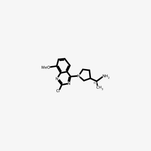 COc1cccc2c(N3CCC([C@H](C)N)C3)nc(Cl)nc12